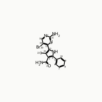 NC(=O)c1c(-c2ccccc2)[nH]c(-c2nc(N)ncc2Br)c1I